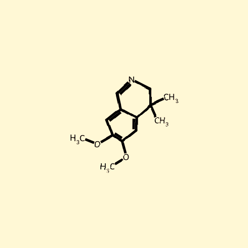 COc1cc2c(cc1OC)C(C)(C)CN=C2